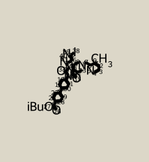 Cc1cccnc1CN1CCC2(CC1)C(=O)N(c1ccc(-c3ccc(C(=O)OCC(C)C)cc3)cc1)C(=O)N2c1cc(I)ncn1